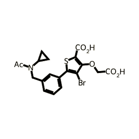 CC(=O)N(Cc1cccc(-c2sc(C(=O)O)c(OCC(=O)O)c2Br)c1)C1CC1